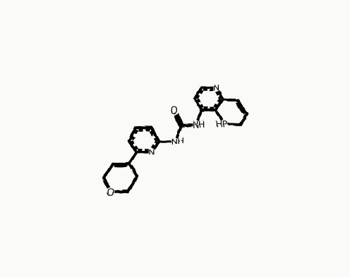 O=C(Nc1cccc(C2=CCOCC2)n1)Nc1ccnc2c1PCC=C2